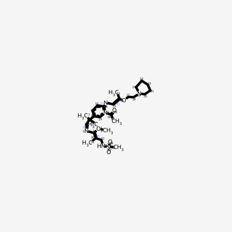 COC(/N=C\C(C)(C)c1cc/c(=N/C=C(\C)OCCN2CCCCC2)n(C(C)=O)c1)=C(/C)CNS(C)(=O)=O